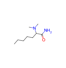 CCCCCC(C(N)=O)N(C)C